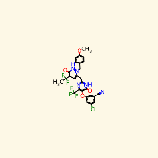 COc1ccc(CN2NC(=O)C(C(C)(F)F)C=C2Cc2nc(C(F)(F)F)c(Oc3cc(Cl)cc(C#N)c3)c(=O)[nH]2)cc1